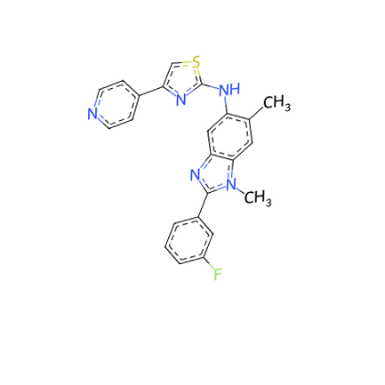 Cc1cc2c(cc1Nc1nc(-c3ccncc3)cs1)nc(-c1cccc(F)c1)n2C